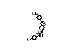 CC(C)(C)c1ccc(C2=NOC3(CCN(OC(=O)Nc4ccc(Cl)cc4)CC3)C2)cc1